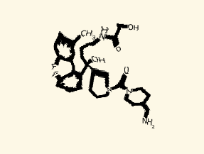 Cc1ccc(F)c(-c2c(F)cccc2C(O)(CCCNC(=O)CO)[C@@H]2CCCN(C(=O)N3CCC(CN)CC3)C2)c1